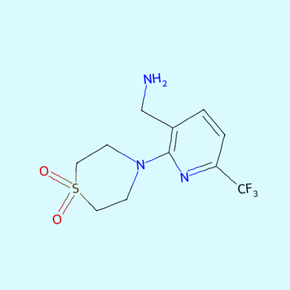 NCc1ccc(C(F)(F)F)nc1N1CCS(=O)(=O)CC1